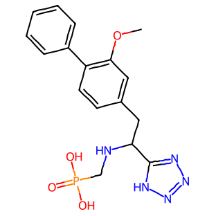 COc1cc(CC(NCP(=O)(O)O)c2nnn[nH]2)ccc1-c1ccccc1